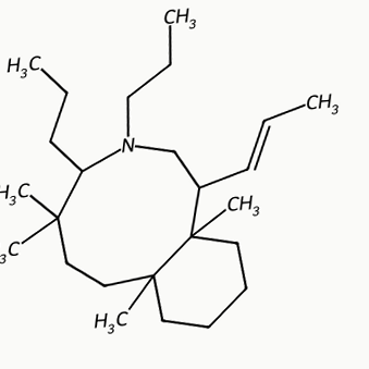 CC=CC1CN(CCC)C(CCC)C(C)(C)CCC2(C)CCCCC12C